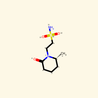 C[C@@H]1CCCC(=O)N1CCS(N)(=O)=O